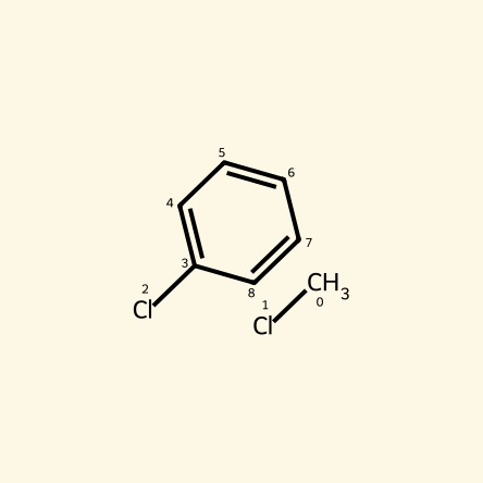 CCl.Clc1ccccc1